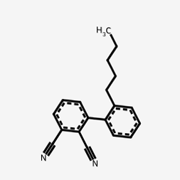 CCCCCc1ccccc1-c1cccc(C#N)c1C#N